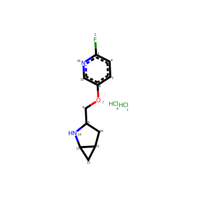 Cl.Cl.Fc1ccc(OCC2CC3CC3N2)cn1